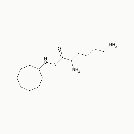 NCCCCC(N)C(=O)NBC1CCCCCCC1